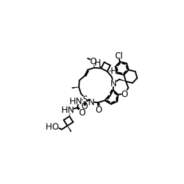 CO[C@H]1/C=C/C[C@H](C)C[S@@](=O)(NC(=O)N[C@H]2C[C@@](C)(CO)C2)=NC(=O)c2ccc3c(c2)N(C[C@@H]2CC[C@H]21)C[C@@]1(CCCc2cc(Cl)ccc21)CO3